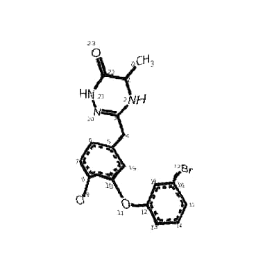 CC1NC(Cc2ccc(Cl)c(Oc3cccc(Br)c3)c2)=NNC1=O